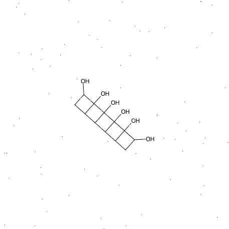 OC1CC2C3C4C5CC(O)C5(O)C4(O)C3(O)C12O